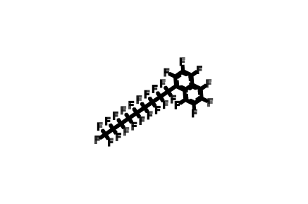 Fc1c(F)c(F)c2c(C(F)(F)C(F)(F)C(F)(F)C(F)(F)C(F)(F)C(F)(F)C(F)(F)C(F)(F)C(F)(F)F)c(F)c(F)c(F)c2c1F